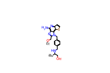 CCOCc1nc2c(N)nc3ccsc3c2n1Cc1ccc(CNC(CO)C(C)CC)cc1